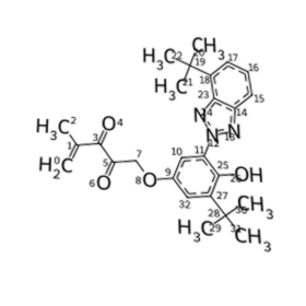 C=C(C)C(=O)C(=O)COc1cc(-n2nc3cccc(C(C)(C)C)c3n2)c(O)c(C(C)(C)C)c1